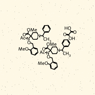 COC(=O)C1(N(OCc2ccccc2OC)C(C)=O)CCN(C(C)c2ccccc2)CC1.COC(=O)C1(N(OCc2ccccc2OC)C(C)=O)CCN(C(C)c2ccccc2)CC1.O=C(O)C(=O)O